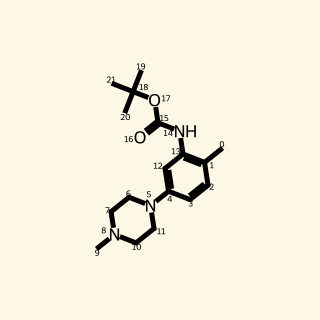 Cc1ccc(N2CCN(C)CC2)cc1NC(=O)OC(C)(C)C